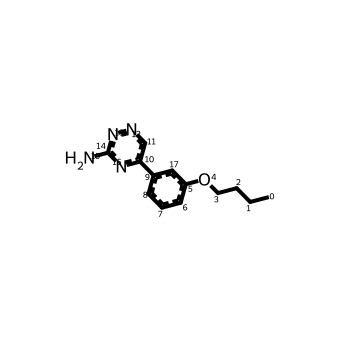 CCCCOc1cccc(-c2cnnc(N)n2)c1